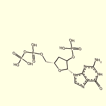 Nc1nc2c(ncn2[C@@H]2O[C@H](COP(=O)(O)OP(=O)(O)O)CC2OP(=O)(O)O)c(=O)[nH]1